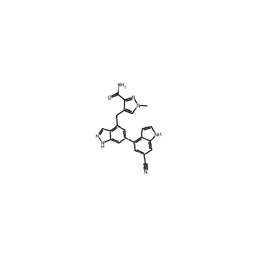 Cn1cc(Cc2cc(-c3cc(C#N)cc4[nH]ccc34)cc3[nH]ncc23)c(C(N)=O)n1